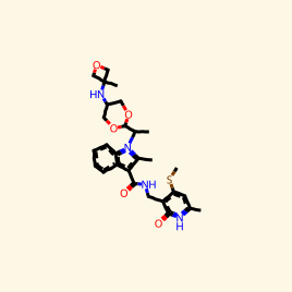 CSc1cc(C)[nH]c(=O)c1CNC(=O)c1c(C)n(C(C)C2OCC(NC3(C)COC3)CO2)c2ccccc12